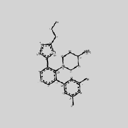 CCCc1nnc(-c2cncc(-c3cc(C)cc(C)c3)c2N2CCC(N)CC2)o1